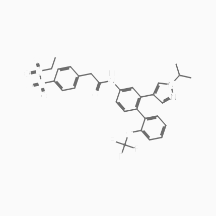 CCS(=O)(=O)S(=O)(=O)c1ccc(CC(=O)Nc2ccc(-c3ccccc3OC(F)(F)F)c(-c3cnn(C(C)C)c3)c2)cc1